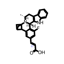 C[C@@H]1Cc2c([nH]c3ccccc23)[C@@H]2c3c(F)cc(/C=C/C(=O)O)cc3C3C4CC3(C4)N21